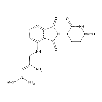 CCCCCCCCCN(N)/C=C(\N)CNc1cccc2c1C(=O)N(C1CCC(=O)NC1=O)C2=O